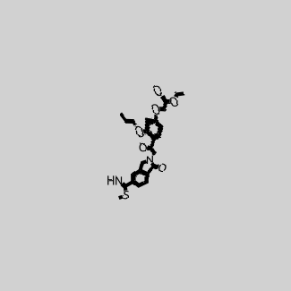 CCCOc1cc(OCC(=O)OCC)ccc1C(=O)CN1Cc2cc(C(=N)SC)ccc2C1=O